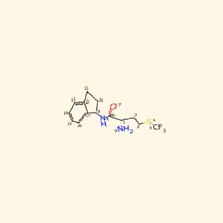 N[C@@H](CCSC(F)(F)F)C(=O)NC1CCc2ccccc21